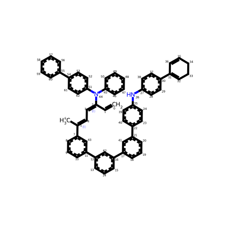 C=C/C(=C\C=C(/C)c1cccc(-c2cccc(-c3cccc(-c4ccc(Nc5ccc(C6=CCCC=C6)cc5)cc4)c3)c2)c1)N(c1ccccc1)c1ccc(-c2ccccc2)cc1